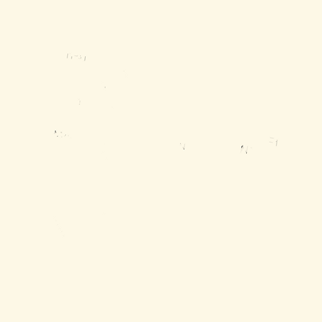 CCCCS(=O)(=O)c1cc(N2CCN(CC)CC2)cc(-c2ccccc2)c1OC